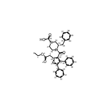 CCOC(=O)Cn1nc(-c2ccccc2)c(-c2ccccc2)c1C(=O)N1CCN(C(=O)O)C[C@H]1Cc1ccccc1